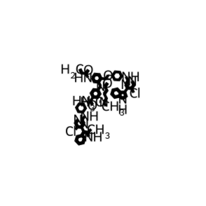 C=CC(=O)Nc1ccc(CO[C@H]2CC[C@H](Nc3ncc(Cl)c(-c4c[nH]c5ccccc45)n3)CC2)c(N(C(=O)/C=C/CN(C)C)c2ccc(C(=O)N[C@H]3CCC[C@@H](Nc4ncc(Cl)c(-c5c(C)[nH]c6ccccc56)n4)C3)cc2)c1